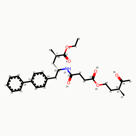 CCOC(=O)[C@H](C)C[C@@H](Cc1ccc(-c2ccccc2)cc1)NC(=O)CCC(=O)OCC[C@H](C)C(C)=O